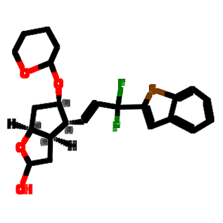 OC1C[C@@H]2[C@@H](C=CC(F)(F)c3cc4ccccc4s3)[C@H](OC3CCCCO3)C[C@@H]2O1